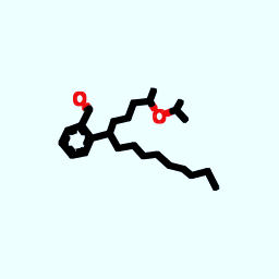 CCCCCCCCCC(CCCC(C)OC(C)C)c1ccccc1C=O